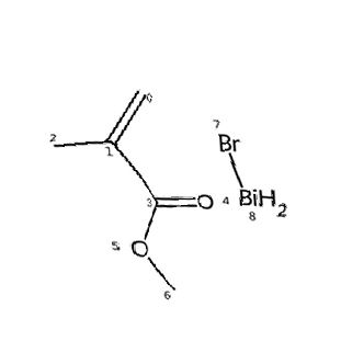 C=C(C)C(=O)OC.[Br][BiH2]